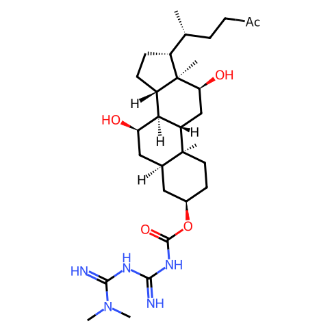 CC(=O)CC[C@@H](C)[C@H]1CC[C@H]2[C@@H]3[C@H](O)C[C@@H]4C[C@H](OC(=O)NC(=N)NC(=N)N(C)C)CC[C@]4(C)[C@H]3C[C@H](O)[C@]12C